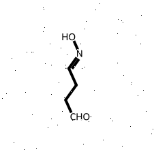 O=[C]CC/[C]=N/O